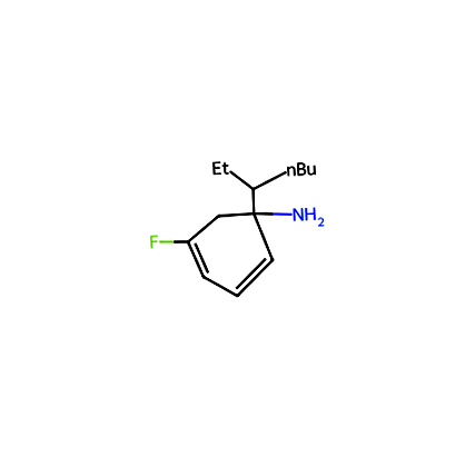 CCCCC(CC)C1(N)C=CC=C(F)C1